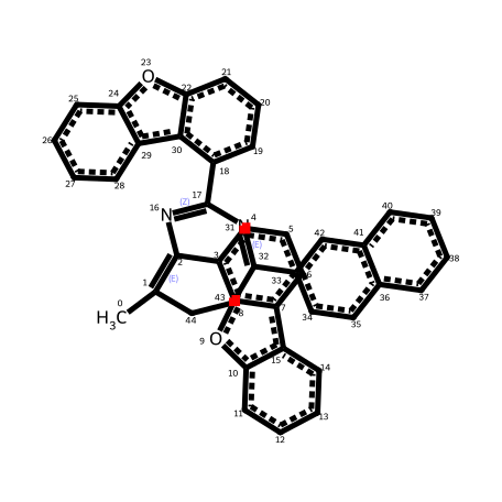 C\C1=C(c2cccc3c2oc2ccccc23)/N=C(c2cccc3oc4ccccc4c23)\N=C(\c2ccc3ccccc3c2)CC1